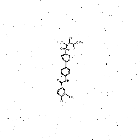 COC(=O)[C@H](C(C)C)N(C)S(=O)(=O)c1ccc(-c2ccc(NC(=O)c3ccc(C)c(C)c3)cc2)cc1